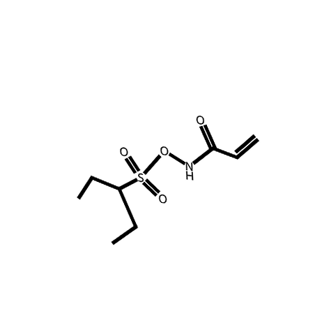 C=CC(=O)NOS(=O)(=O)C(CC)CC